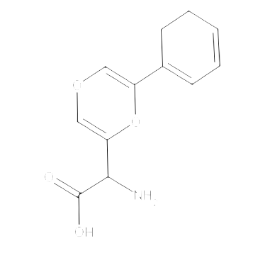 NC(C(=O)O)C1=COC=C(C2=CC=CCC2)O1